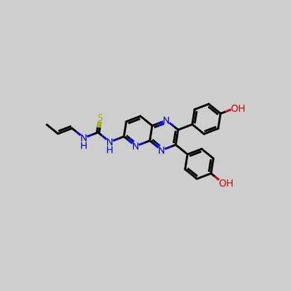 CC=CNC(=S)Nc1ccc2nc(-c3ccc(O)cc3)c(-c3ccc(O)cc3)nc2n1